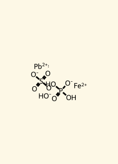 O=P([O-])(O)O.O=S(=O)([O-])[O-].[Fe+2].[OH-].[Pb+2]